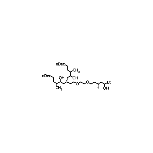 CCCCCCCCCCCCC(C)C(O)CN(CCOCCOCCNCC(O)CC)CC(O)C(C)CCCCCCCCCCCC